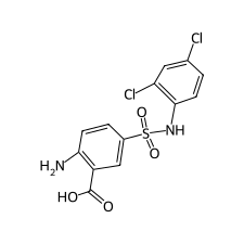 Nc1ccc(S(=O)(=O)Nc2ccc(Cl)cc2Cl)cc1C(=O)O